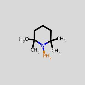 CC1(C)CCCC(C)(C)N1P